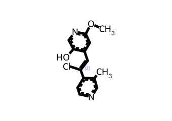 COc1cc(/C=C(\Cl)c2ccncc2C)c(O)cn1